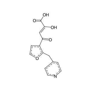 O=C(O)C(O)=CC(=O)c1ccoc1Cc1ccncc1